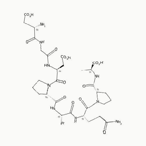 CC(C)[C@H](NC(=O)[C@@H]1CCCN1C(=O)[C@H](CC(=O)O)NC(=O)CNC(=O)[C@@H](N)CC(=O)O)C(=O)N[C@@H](CCC(N)=O)C(=O)N1CCC[C@H]1C(=O)N[C@@H](C)C(=O)O